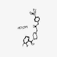 Cl.Cl.O=C(Cc1ccc([N+](=O)[O-])cc1)CN1CCN(C(=O)c2cccc(F)c2F)CC1